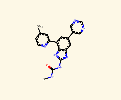 CCNC(=O)Nc1nc2cc(-c3cncnc3)cc(-c3cc(OC)ccn3)c2[nH]1